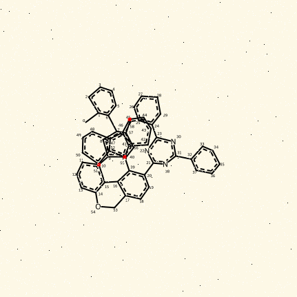 Cc1ccccc1-c1cc(-c2cccc3c2-c2c(ccc(-c4nc(-c5ccccc5)nc(-c5ccccc5)n4)c2-n2c4ccccc4c4ccccc42)CO3)ccc1C